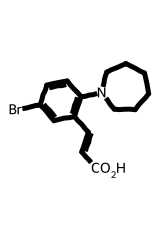 O=C(O)/C=C/c1cc(Br)ccc1N1CCCCCC1